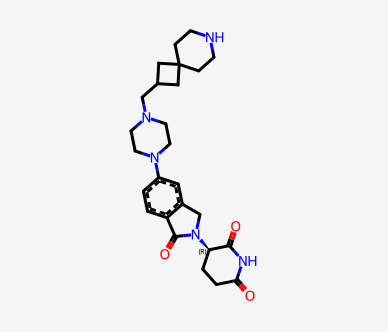 O=C1CC[C@@H](N2Cc3cc(N4CCN(CC5CC6(CCNCC6)C5)CC4)ccc3C2=O)C(=O)N1